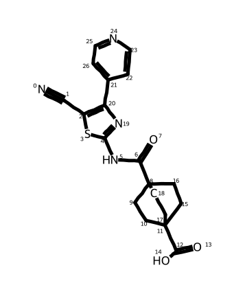 N#Cc1sc(NC(=O)C23CCC(C(=O)O)(CC2)CC3)nc1-c1ccncc1